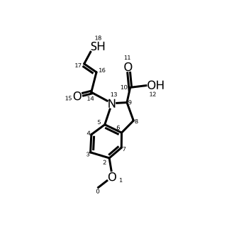 COc1ccc2c(c1)CC(C(=O)O)N2C(=O)C=CS